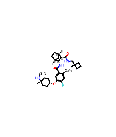 COc1cc(F)c(O[C@H]2CC[C@@](C)(NC=O)CC2)cc1C(=O)N[C@@H]1[C@@H]2CC[C@@H](C2)[C@@H]1C(=O)NCC1(C)CCC1